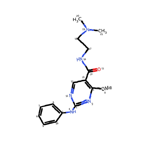 COc1nc(Nc2ccccc2)ncc1C(=O)NCCN(C)C